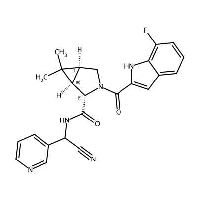 CC1(C)[C@@H]2[C@@H](C(=O)NC(C#N)c3cccnc3)N(C(=O)c3cc4cccc(F)c4[nH]3)C[C@@H]21